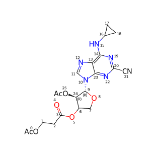 CC(=O)OCCC(=O)OC1CO[C@@H](n2cnc3c(NC4CC4)nc(C#N)nc32)[C@@H]1OC(C)=O